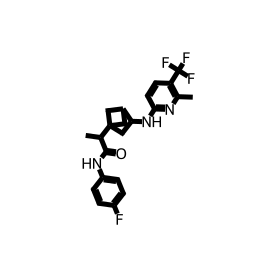 Cc1nc(NC2CC3(C(C)C(=O)Nc4ccc(F)cc4)CC2C3)ccc1C(F)(F)F